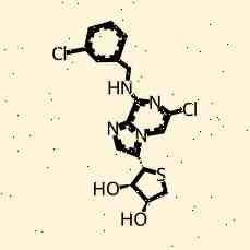 O[C@@H]1[C@H](O)CS[C@H]1c1cnc2c(NCc3cccc(Cl)c3)nc(Cl)cn12